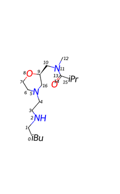 CCC(C)CNCCN1CCO[C@@H](CN(C)C(=O)C(C)C)C1